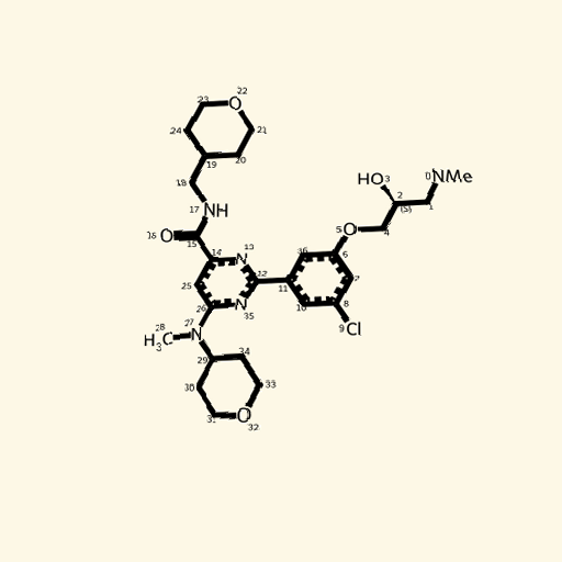 CNC[C@H](O)COc1cc(Cl)cc(-c2nc(C(=O)NCC3CCOCC3)cc(N(C)C3CCOCC3)n2)c1